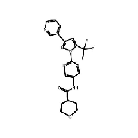 O=C(Nc1ccc(-n2nc(-c3cccnc3)cc2C(F)(F)F)nc1)C1CCOCC1